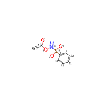 CCCC(=O)ONS(=O)(=O)c1ccccc1